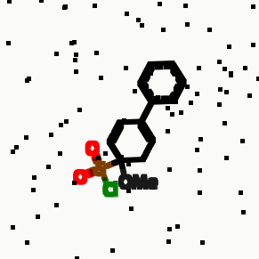 COC1(S(=O)(=O)Cl)C=CC(c2ccccc2)=CC1